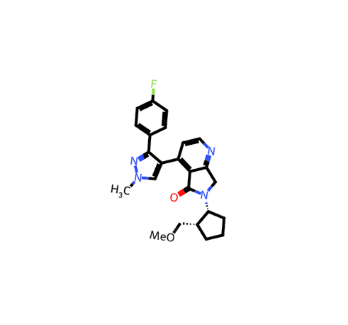 COC[C@H]1CCC[C@H]1N1Cc2nccc(-c3cn(C)nc3-c3ccc(F)cc3)c2C1=O